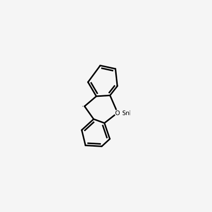 [CH]1c2ccccc2Oc2ccccc21.[Sn]